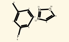 Cc1cccc(F)c1.c1conn1